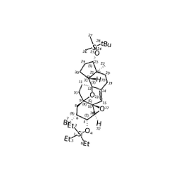 CC[Si](CC)(CC)O[C@@H]1[C@H](Br)C[C@@]23CC[C@@]4(O2)C(=C[C@@]32O[C@@H]12)CC[C@]1(C)[C@@H](O[Si](C)(C)C(C)(C)C)CC[C@H]14